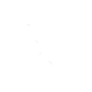 CCN(CC)CCNC(=O)N1CCN(c2cccc(Cl)c2)CC1